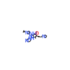 COc1cc2c(NC3CCN(C4CC4)CC3)nc(N3CCCN(C)CC3)nc2c(C)c1C#CCCN1CCCC1